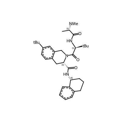 CN[C@@H](C)C(=O)N[C@H](C(=O)N1Cc2cc(C(C)(C)C)ccc2C[C@H]1C(=O)N[C@@H]1CCCc2ccccc21)C(C)(C)C